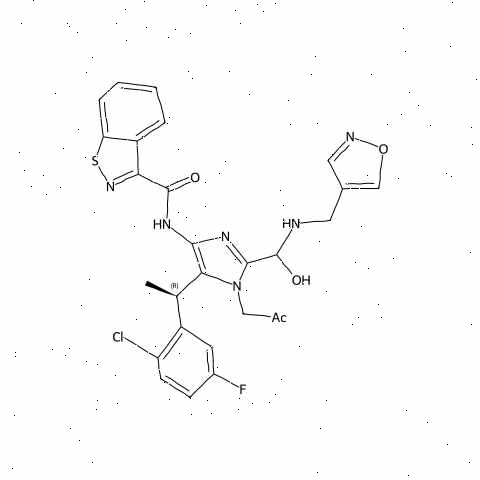 CC(=O)Cn1c(C(O)NCc2cnoc2)nc(NC(=O)c2nsc3ccccc23)c1[C@H](C)c1cc(F)ccc1Cl